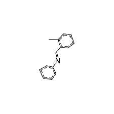 Cc1ccccc1C=Nc1ccccc1